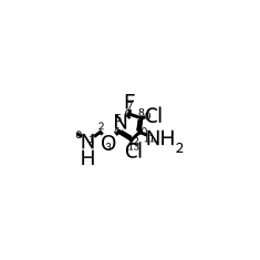 CNCOc1nc(F)c(Cl)c(N)c1Cl